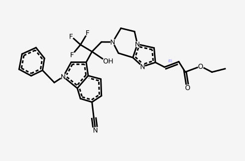 CCOC(=O)/C=C/c1cn2c(n1)CN(CC(O)(c1cn(Cc3ccccc3)c3cc(C#N)ccc13)C(F)(F)F)CC2